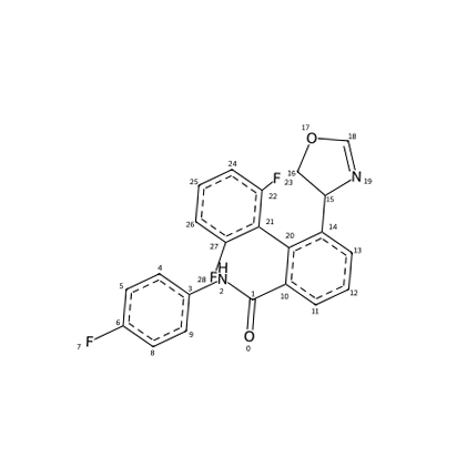 O=C(Nc1ccc(F)cc1)c1cccc(C2COC=N2)c1-c1c(F)cccc1F